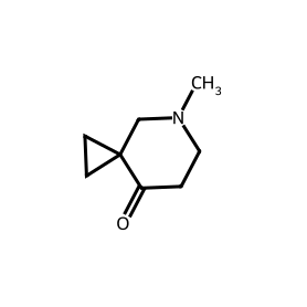 CN1CCC(=O)C2(CC2)C1